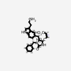 NCCc1c[nH]c2ccc(CC3CNC(=O)N3Cc3ccccc3)cc12.O=C(O)/C=C\C(=O)O